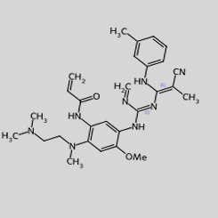 C=CC(=O)Nc1cc(N/C(N=C)=N/C(Nc2cccc(C)c2)=C(\C)C#N)c(OC)cc1N(C)CCN(C)C